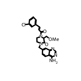 COCC1C(=O)N(Cc2ccc3c(N)ncnc3c2)CCN1C(=O)/C=C/c1cccc(Cl)c1